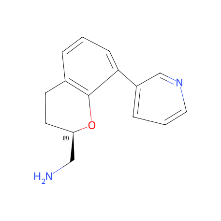 NC[C@H]1CCc2cccc(-c3cccnc3)c2O1